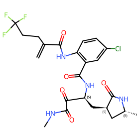 C=C(CCC(F)(F)F)C(=O)Nc1ccc(Cl)cc1C(=O)N[C@@H](C[C@@H]1C[C@@H](C)NC1=O)C(=O)C(=O)NC